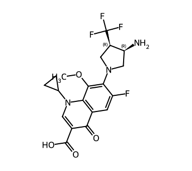 COc1c(N2C[C@@H](C(F)(F)F)[C@@H](N)C2)c(F)cc2c(=O)c(C(=O)O)cn(C3CC3)c12